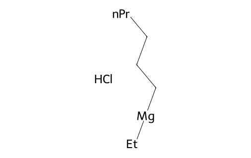 CCCCC[CH2][Mg][CH2]C.Cl